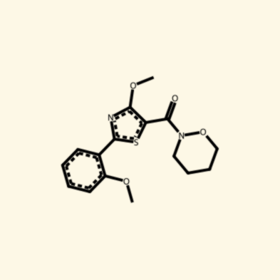 COc1ccccc1-c1nc(OC)c(C(=O)N2CCCCO2)s1